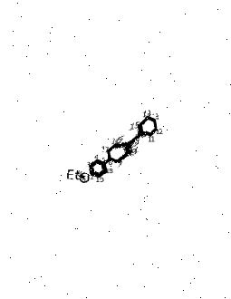 CCOc1ccc(C2CCC(C3CCCCC3)CC2)cc1